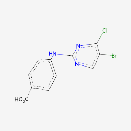 O=C(O)c1ccc(Nc2ncc(Br)c(Cl)n2)cc1